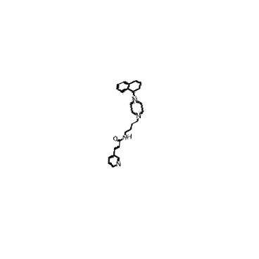 O=C(C=Cc1cccnc1)NCCCCN1CCN(C2CCCc3ccccc32)CC1